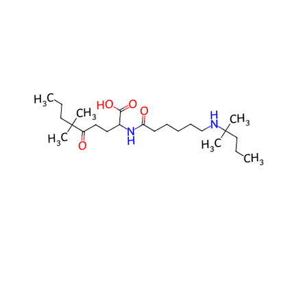 CCCC(C)(C)NCCCCCC(=O)NC(CCC(=O)C(C)(C)CCC)C(=O)O